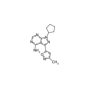 Cc1cc(-c2nn(C3CCCC3)c3ncnc(N)c23)on1